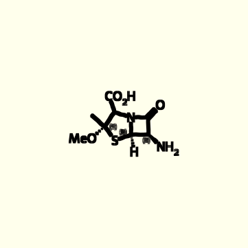 CO[C@@]1(C)S[C@@H]2[C@H](N)C(=O)N2C1C(=O)O